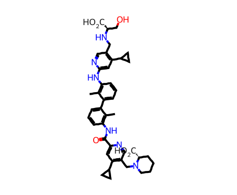 Cc1c(NC(=O)c2cc(C3CC3)c(CN3CCCC[C@H]3C(=O)O)cn2)cccc1-c1cccc(Nc2cc(C3CC3)c(CN[C@H](CO)C(=O)O)cn2)c1C